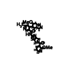 COc1cn2cncc2cc1-c1cc(C)ncc1C(=O)Nc1nc2c(s1)CN(C(=O)c1cccnc1OC)C2